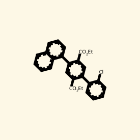 CCOC(=O)c1cc(-c2cccc3ccccc23)c(C(=O)OCC)cc1-c1ccccc1Cl